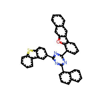 c1ccc2cc3c(cc2c1)oc1c(-c2nc(-c4ccc5sc6ccccc6c5c4)nc(-c4cccc5ccccc45)n2)cccc13